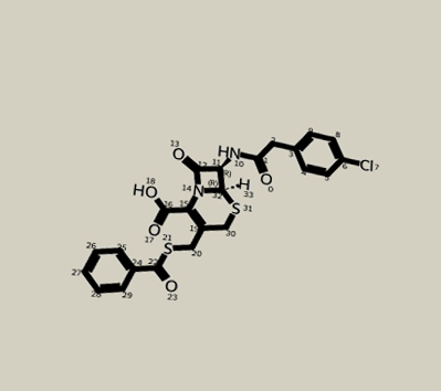 O=C(Cc1ccc(Cl)cc1)N[C@@H]1C(=O)N2C(C(=O)O)=C(CSC(=O)c3ccccc3)CS[C@H]12